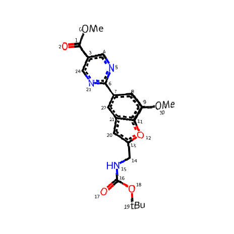 COC(=O)c1cnc(-c2cc(OC)c3oc(CNC(=O)OC(C)(C)C)cc3c2)nc1